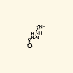 c1ccc([C@H]2CC2NCC2(CNCC3CCNC3)CC2)cc1